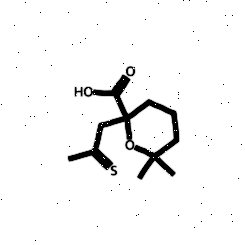 CC(=S)CC1(C(=O)O)CCCC(C)(C)O1